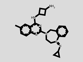 Cc1ccc2nc(N3CCS(=NC4CC4)c4ccccc4C3)nc(NC3CC(N)C3)c2c1